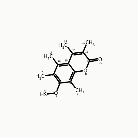 Cc1c(OS)c(C)c2oc(=O)c(C)c(C)c2c1C